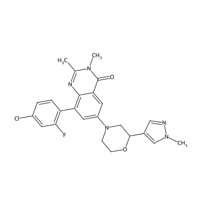 Cc1nc2c(-c3ccc(Cl)cc3F)cc(N3CCOC(c4cnn(C)c4)C3)cc2c(=O)n1C